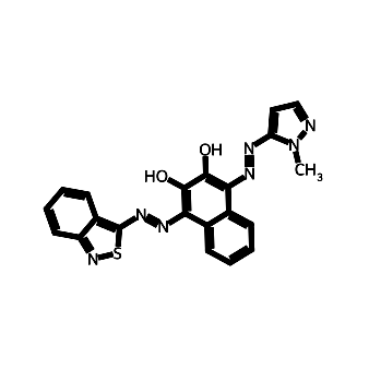 Cn1nccc1/N=N/c1c(O)c(O)c(/N=N/c2snc3ccccc23)c2ccccc12